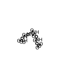 O=C(Nc1ccc(CC2NC(=O)C(Cc3ccc(NC(=O)c4ccc5c(c4)C(=O)OC5=O)cc3)NC2=O)cc1)c1ccc2c(c1)C(=O)OC2=O